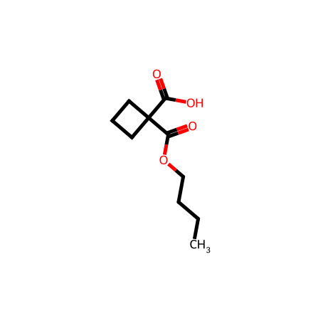 CCCCOC(=O)C1(C(=O)O)CCC1